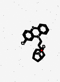 O=C1CC2CCC(C1)N2CCCN1c2ccccc2Sc2ccc(Cl)cc21